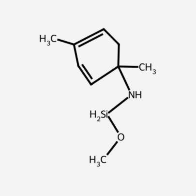 CO[SiH2]NC1(C)C=CC(C)=CC1